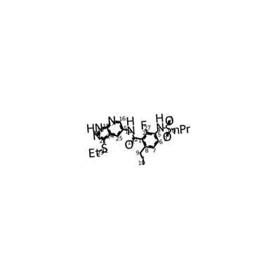 CCCS(=O)(=O)Nc1ccc(CI)c(C(=O)Nc2cnc3[nH]nc(SCC)c3c2)c1F